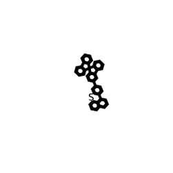 c1ccc2c(c1)-c1ccccc1C21c2ccccc2-c2cc(-c3ccc4c(c3)Sc3cccc5cccc-4c35)ccc21